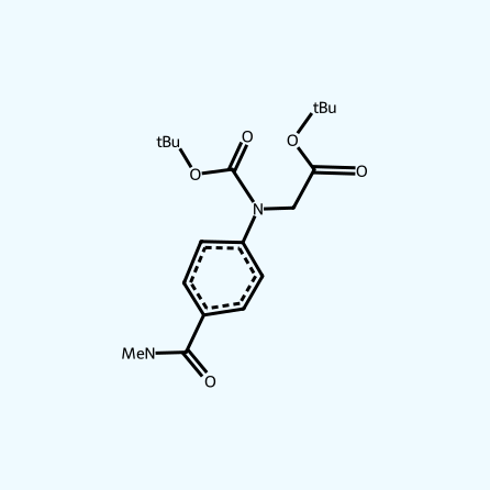 CNC(=O)c1ccc(N(CC(=O)OC(C)(C)C)C(=O)OC(C)(C)C)cc1